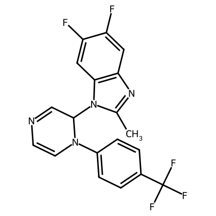 Cc1nc2cc(F)c(F)cc2n1C1C=NC=CN1c1ccc(C(F)(F)F)cc1